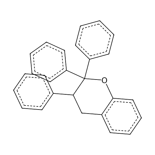 c1ccc(C2Cc3ccccc3OC2(c2ccccc2)c2ccccc2)cc1